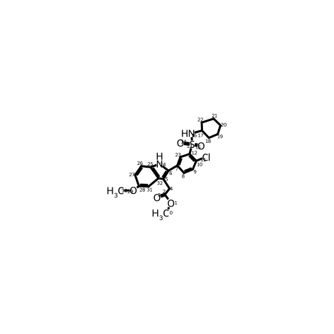 COC(=O)Cc1c(-c2ccc(Cl)c(S(=O)(=O)NC3CCCCC3)c2)[nH]c2ccc(OC)cc12